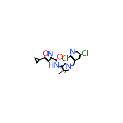 C[C@@H]1CN(Cc2cc(Cl)cnc2Cl)C[C@@H]1NC(=O)c1cc(C2CC2)on1